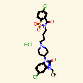 Cl.O=C1c2cc(Cl)ccc2S(=O)(=O)N1CCCCN1CCC(n2c(=O)n(CC(F)(F)F)c3cc(Cl)ccc32)CC1